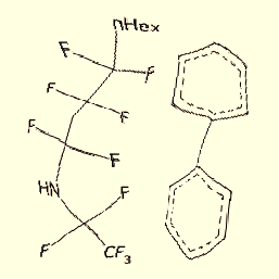 CCCCCCC(F)(F)C(F)(F)C(F)(F)NC(F)(F)C(F)(F)F.c1ccc(-c2ccccc2)cc1